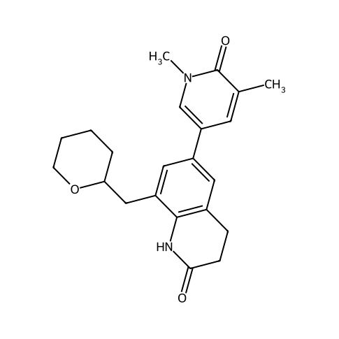 Cc1cc(-c2cc3c(c(CC4CCCCO4)c2)NC(=O)CC3)cn(C)c1=O